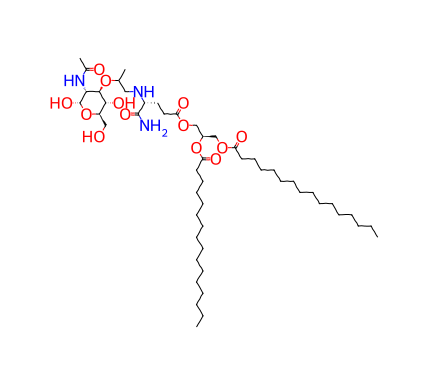 CCCCCCCCCCCCCCCC(=O)OC[C@H](COC(=O)CC[C@@H](NCC(C)O[C@H]1[C@H](O)[C@@H](CO)O[C@H](O)[C@@H]1NC(C)=O)C(N)=O)OC(=O)CCCCCCCCCCCCCCC